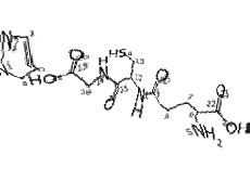 C1=CNNC1.NC(CCC(=O)NC(CS)C(=O)NCC(=O)O)C(=O)O